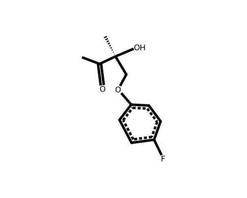 CC(=O)[C@@](C)(O)COc1ccc(F)cc1